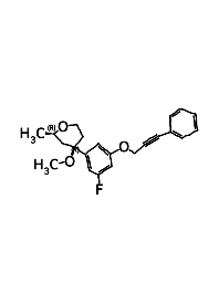 CO[C@]1(c2cc(F)cc(OCC#Cc3ccccc3)c2)CCO[C@H](C)C1